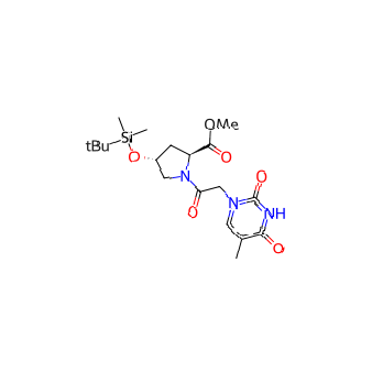 COC(=O)[C@@H]1C[C@@H](O[Si](C)(C)C(C)(C)C)CN1C(=O)Cn1cc(C)c(=O)[nH]c1=O